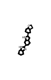 c1ccc2[nH]c(-c3ccc4cc(-c5ccc6c(c5)CCO6)[nH]c4c3)nc2c1